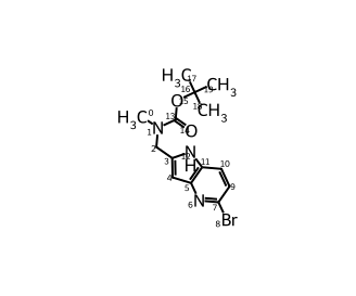 CN(Cc1cc2nc(Br)ccc2[nH]1)C(=O)OC(C)(C)C